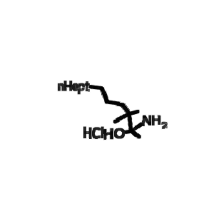 CCCCCCCCCCC(C)(C)C(C)(N)O.Cl